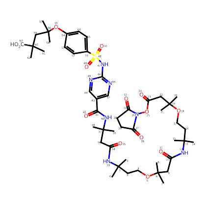 CC(C)(CCOC(C)(C)CC(=O)NC(C)(C)CCOC(C)(C)CC(=O)ON1C(=O)CCC1=O)NC(=O)CC(C)(C)NC(=O)c1cnc(NS(=O)(=O)c2ccc(OC(C)(C)CC(C)(C)C(=O)O)cc2)nc1